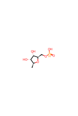 C[C@@H]1O[C@H](CO[PH](=O)O)[C@@H](O)[C@H]1O